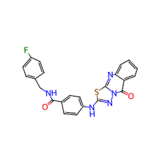 O=C(NCc1ccc(F)cc1)c1ccc(Nc2nn3c(=O)c4ccccc4nc3s2)cc1